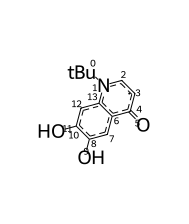 CC(C)(C)n1c[c]c(=O)c2cc(O)c(O)cc21